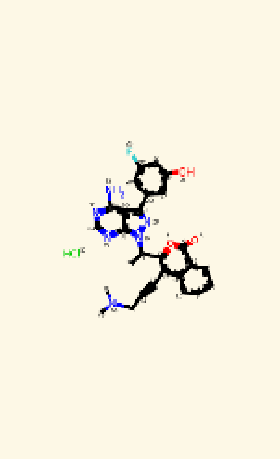 CC(c1oc(=O)c2ccccc2c1C#CCN(C)C)n1nc(-c2cc(O)cc(F)c2)c2c(N)ncnc21.Cl